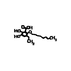 CCCCCCCCOc1c(CC)cc(O)c(O)c1C(=O)O